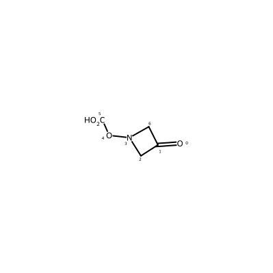 O=C1CN(OC(=O)O)C1